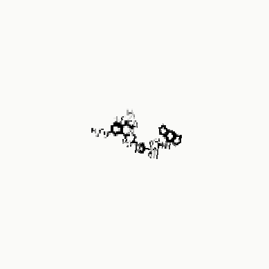 COc1ccc2c(c1)C(=O)N(CC(=O)n1cc(S(=O)(=O)NC(=O)Nc3c4c(cc5c3CCC5)CCC4)cn1)C(=O)C2(C)C